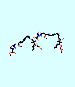 C/C=C/[C@H](OCOC)C(C)(C)[C@H](C/C=C\C#C/C=C/[C@@H](Cc1nc(C(=O)OC)co1)OC)OC(=O)c1coc(C[C@H](/C=C/C#C/C=C\C[C@H](O)C(C)(C)[C@H](/C=C/C)OCOC)OC)n1